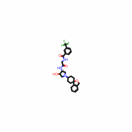 O=C(CNC(=O)c1cccc(C(F)(F)F)c1)N[C@H]1CN(C2CCC3(CC2)OCC2=C3CCC=C2)CC1O